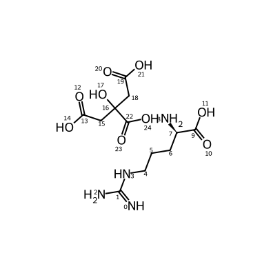 N=C(N)NCCC[C@@H](N)C(=O)O.O=C(O)CC(O)(CC(=O)O)C(=O)O